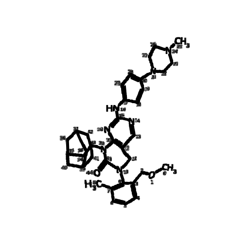 COCc1cccc(C)c1N1Cc2cnc(Nc3ccc(N4CCN(C)CC4)cc3)nc2N(C23CC4CC(CC(C4)C2)C3)C1=O